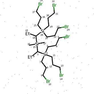 CCC([Si](CCCBr)(CCCBr)CCCBr)[Si](C)(C)C(CC)[Si](CCCBr)(CCCBr)CCCBr